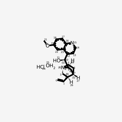 C=C[C@H]1C[N@]2CC[C@H]1C[C@@H]2[C@@H](O)c1ccnc2ccc(OC)cc12.Cl.O